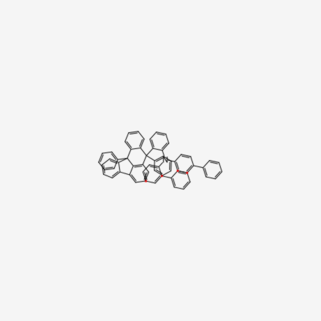 c1ccc(-c2ccc(N(c3ccccc3-c3ccccc3)c3ccccc3C3(c4ccccc4)c4ccccc4C4(c5ccccc5)c5ccccc5-c5cccc3c54)cc2)cc1